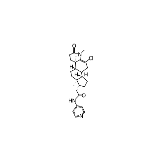 CN1C(=O)CC[C@@]2(C)C1=C(Cl)C[C@H]1[C@@H]3CC[C@H](CC(=O)Nc4ccncc4)[C@@]3(C)CC[C@@H]12